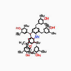 CC(C)(C)c1cc(Cc2cc(Cc3cc(C(C)(C)C)c(O)c(C(C)(C)C)c3)c(Nc3c(Cc4cc(C(C)(C)C)c(O)c(C(C)(C)C)c4)cc(Cc4cc(C(C)(C)C)c(O)c(C(C)(C)C)c4)cc3Cc3cc(C(C)(C)C)c4c(c3)C(C)(C)O4)c(Cc3cc(C(C)(C)C)c(O)c(C(C)(C)C)c3)c2)cc(C(C)(C)C)c1O